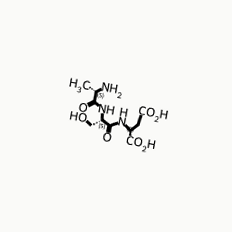 C[C@H](N)C(=O)N[C@@H](CO)C(=O)N[C@@H](CC(=O)O)C(=O)O